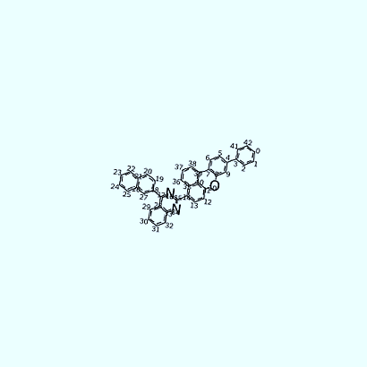 c1ccc(-c2ccc3c(c2)Oc2ccc(-c4nc(-c5ccc6ccccc6c5)c5ccccc5n4)c4cccc-3c24)cc1